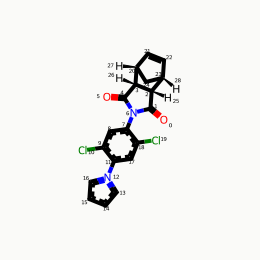 O=C1[C@@H]2[C@H](C(=O)N1c1cc(Cl)c(-n3cccc3)cc1Cl)[C@@H]1C=C[C@H]2C1